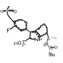 CCOC(=O)c1[nH]c2c([C@H](C)N[S@+]([O-])C(C)(C)C)cccc2c1-c1ccc(CS(C)(=O)=O)c(F)c1